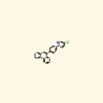 Clc1ccc(-c2ccc(-c3cc4ccccc4c4ccccc34)cc2)nc1